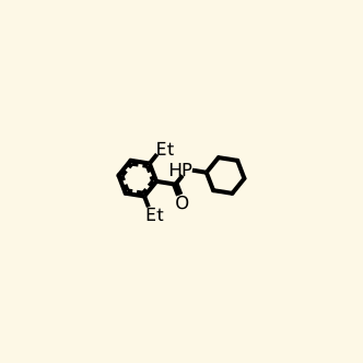 CCc1cccc(CC)c1C(=O)PC1CCCCC1